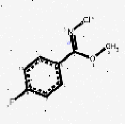 CO/C(=N\Cl)c1ccc(F)cc1